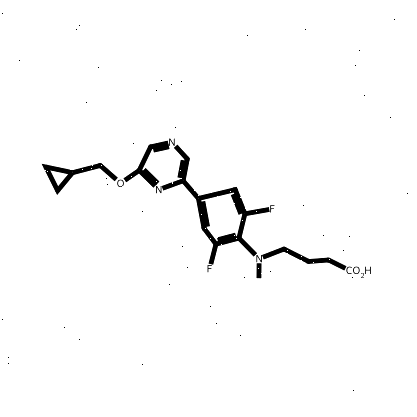 CN(CCCC(=O)O)c1c(F)cc(-c2cncc(OCC3CC3)n2)cc1F